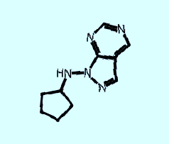 c1ncc2cnn(NC3CCCC3)c2n1